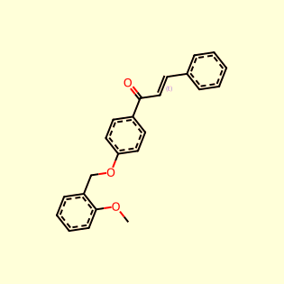 COc1ccccc1COc1ccc(C(=O)/C=C/c2ccccc2)cc1